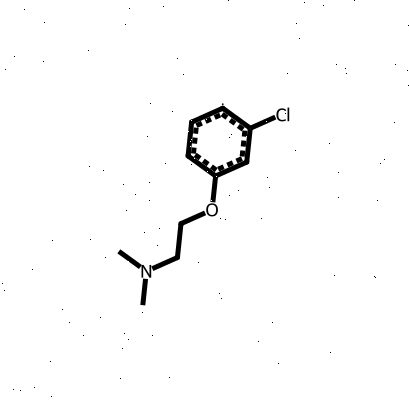 CN(C)CCOc1cc[c]c(Cl)c1